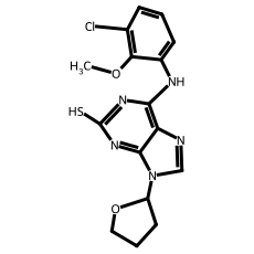 COc1c(Cl)cccc1Nc1nc(S)nc2c1ncn2C1CCCO1